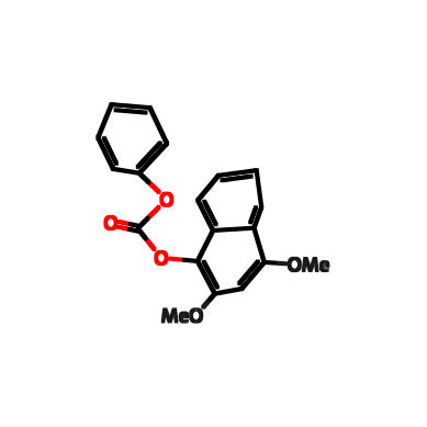 COc1cc(OC)c2ccccc2c1OC(=O)Oc1ccccc1